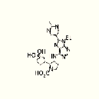 CCn1c(-c2cnc(C)nc2)nc2c(NC3CCN(C(=O)O)C3C3CCS(O)(O)C3)ncnc21